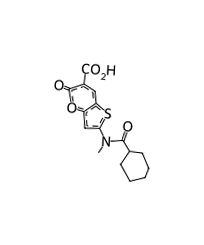 CN(C(=O)C1CCCCC1)c1cc2oc(=O)c(C(=O)O)cc2s1